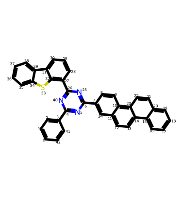 c1ccc(-c2nc(-c3ccc4c(ccc5c6ccccc6ccc45)c3)nc(-c3cccc4c3sc3ccccc34)n2)cc1